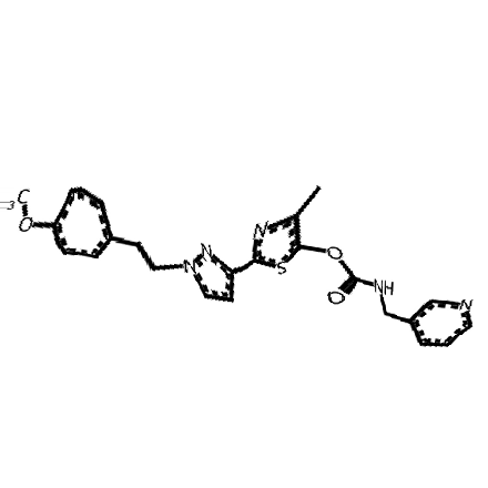 Cc1nc(-c2ccn(CCc3ccc(OC(F)(F)F)cc3)n2)sc1OC(=O)NCc1cccnc1